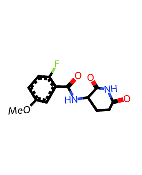 COc1ccc(F)c(C(=O)NC2CCC(=O)NC2=O)c1